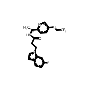 C[C@@H](NC(=O)CCn1ccc2ccc(F)cc21)c1ccc(OCC(F)(F)F)cn1